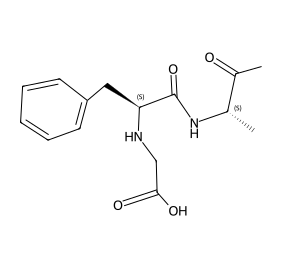 CC(=O)[C@H](C)NC(=O)[C@H](Cc1ccccc1)NCC(=O)O